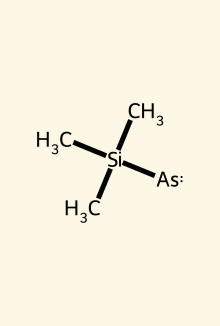 C[Si](C)(C)[As]